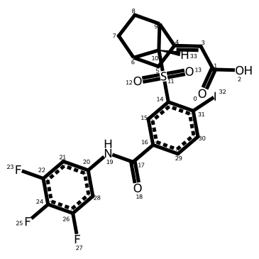 O=C(O)/C=C1\CC2CCC1[C@@H]2S(=O)(=O)c1cc(C(=O)Nc2cc(F)c(F)c(F)c2)ccc1I